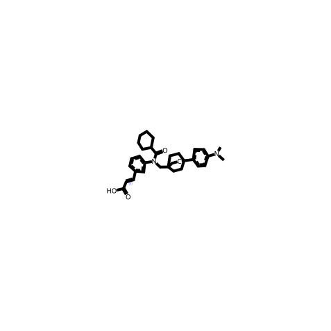 CN(C)c1ccc(C23CCC(CN(C(=O)C4CCCCC4)c4cccc(/C=C/C(=O)O)c4)(CC2)CC3)cc1